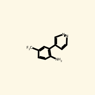 Nc1ccc(C(F)(F)F)cc1-c1ccnnc1